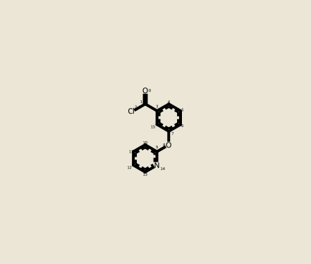 O=C(Cl)c1cccc(Oc2ccccn2)c1